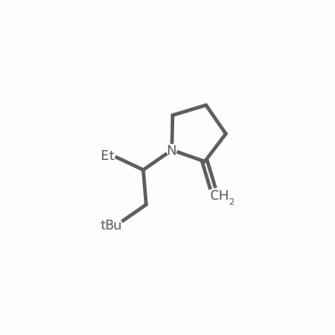 C=C1CCCN1C(CC)CC(C)(C)C